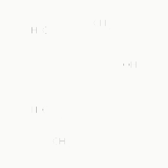 Cc1cc2c(c(O)c1C)CCC2(C)C